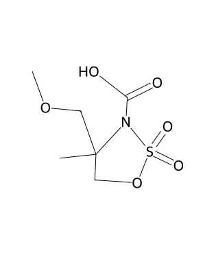 COCC1(C)COS(=O)(=O)N1C(=O)O